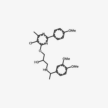 COc1ccc(-c2nc(C)c(Cl)c(OCC(O)CNC(C)c3ccc(OC)c(OC)c3)n2)cc1